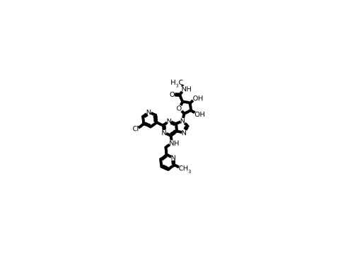 CNC(=O)C1OC(n2cnc3c(NCc4cccc(C)n4)nc(-c4cncc(Cl)c4)nc32)C(O)C1O